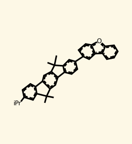 CC(C)c1ccc2c(c1)C(C)(C)c1cc3c(cc1-2)C(C)(C)c1cc(-c2ccc4oc5ccccc5c4c2)ccc1-3